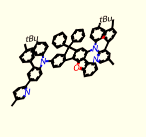 Cc1ccc(-c2cc(-c3ccc(C)cn3)ccc2N(c2ccc(C(C)(C)C)cc2)c2ccc3c(c2)C(c2ccccc2)(c2ccccc2)c2cc(N(c4ccc(C(C)(C)C)cc4)c4ncc(C)cc4-c4ccc(C)cc4)c4c(oc5ccccc54)c2-3)cc1